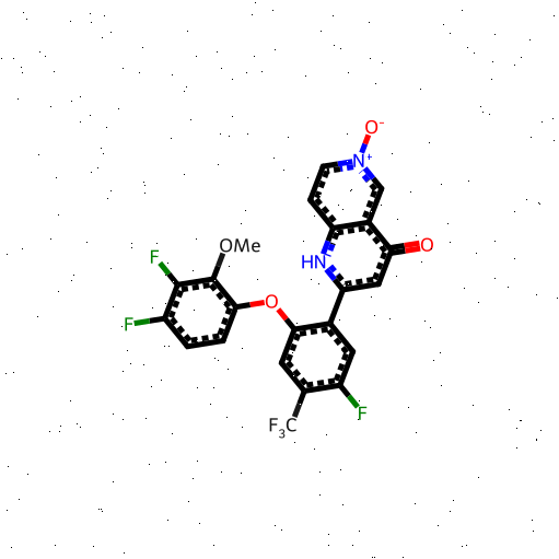 COc1c(Oc2cc(C(F)(F)F)c(F)cc2-c2cc(=O)c3c[n+]([O-])ccc3[nH]2)ccc(F)c1F